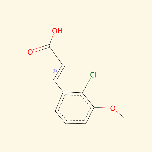 COc1cccc(/C=C/C(=O)O)c1Cl